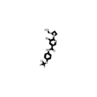 O=C(Nc1ccc(OC(F)(F)Cl)cc1)c1cnc(N2CC[C@@H]2CO)c(Br)c1